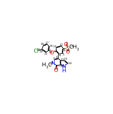 Cn1cc(-c2cc(S(C)(=O)=O)ccc2Oc2cccc(Cl)c2)c2cc[nH]c2c1=O